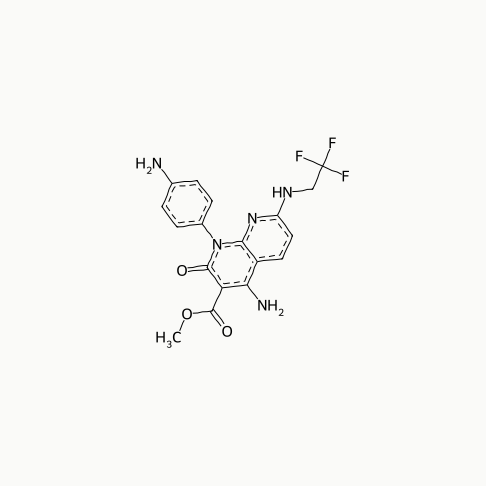 COC(=O)c1c(N)c2ccc(NCC(F)(F)F)nc2n(-c2ccc(N)cc2)c1=O